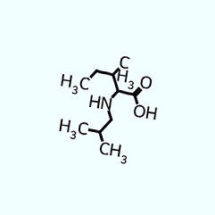 CCC(C)C(NCC(C)C)C(=O)O